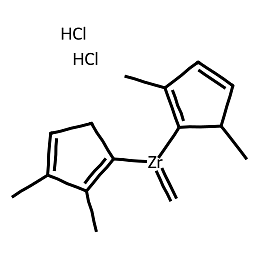 Cl.Cl.[CH2]=[Zr]([C]1=C(C)C(C)=CC1)[C]1=C(C)C=CC1C